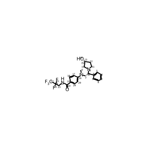 CN(C[C@@H](c1ccccc1)N1CC[C@H](O)C1)c1ccc(C(=O)NCC(F)(F)C(F)(F)F)cc1